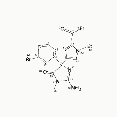 CCC(=O)c1cc(C2(c3cccc(Br)c3)N=C(N)N(C)C2=O)cn1CC